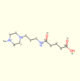 CN1CCN(CCCNC(=O)CCCC(=O)O)CC1